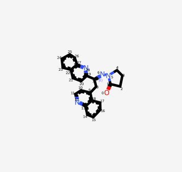 O=C1CCCN1/N=C(\Cc1ccnc2ccccc12)c1ccc2ccccc2n1